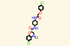 CCN1C[C@@H](C(=O)NC2CCC(NC(=O)COc3ccc(Cl)cc3)CC2)Oc2ccc(Cl)cc21